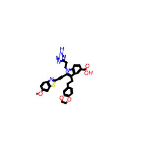 COc1ccc2nc(C#Cc3c(CCc4ccc5c(c4)OCCO5)c4cc(C(=O)O)ccc4n3CCc3nn[nH]n3)sc2c1